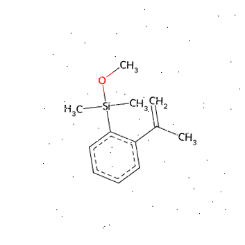 C=C(C)c1ccccc1[Si](C)(C)OC